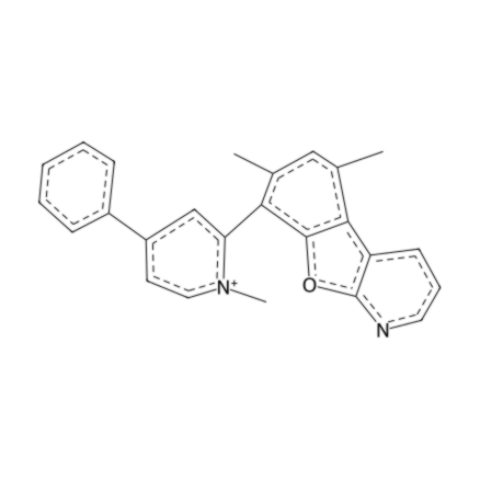 Cc1cc(C)c2c(oc3ncccc32)c1-c1cc(-c2ccccc2)cc[n+]1C